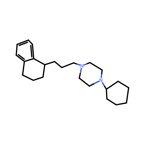 c1ccc2c(c1)CCCC2CCCN1CCN(C2CCCCC2)CC1